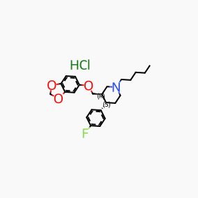 CCCCCN1CC[C@H](c2ccc(F)cc2)[C@@H](COc2ccc3c(c2)OCO3)C1.Cl